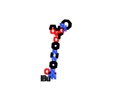 CCC(C)n1ncn(-c2ccc(N3CCN(c4ccc(OCC5COC(CN6CCCC#C/C=N\6)(C6CCCO6)O5)cc4)CC3)cc2)c1=O